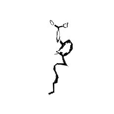 CCCCCCc1ccc(OC(=O)Cl)s1